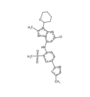 Cc1cnc(-c2ccc(Nc3cc(Cl)nc4c3nc(C)n4C3CCCCO3)c(S(C)(=O)=O)c2)s1